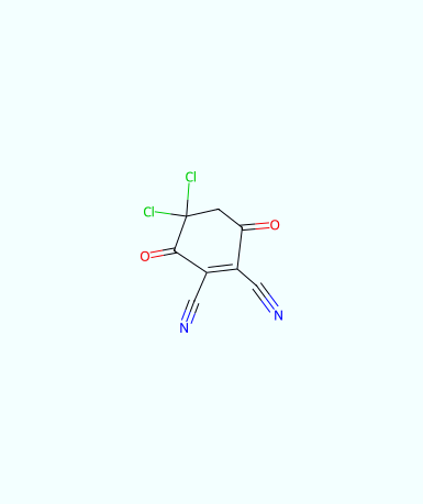 N#CC1=C(C#N)C(=O)C(Cl)(Cl)CC1=O